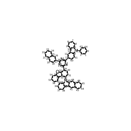 c1ccc(-n2c3ccccc3c3cc(-c4nc(-c5ccc6ccccc6c5)nc(-c5ccc(-n6c7ccccc7c7cc8ccccc8cc76)c6c5oc5ccccc56)n4)ccc32)cc1